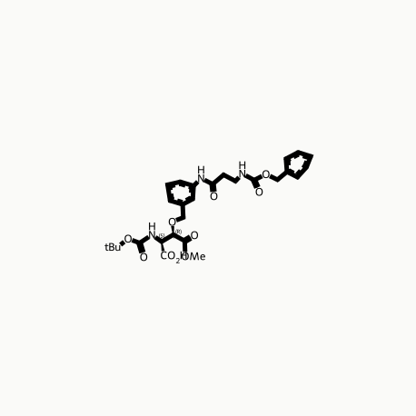 COC(=O)[C@H](OCc1cccc(NC(=O)CCNC(=O)OCc2ccccc2)c1)[C@H](NC(=O)OC(C)(C)C)C(=O)O